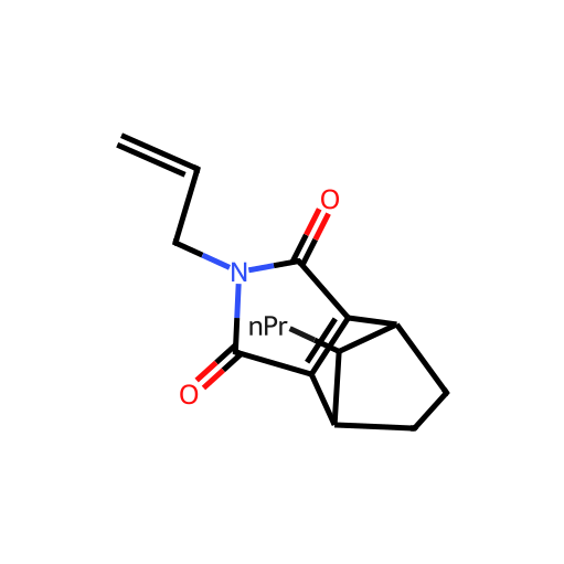 C=CCN1C(=O)C2=C(C1=O)C1CCC2C1CCC